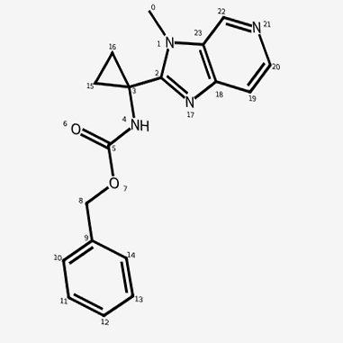 Cn1c(C2(NC(=O)OCc3ccccc3)CC2)nc2ccncc21